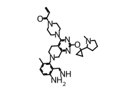 C=CC(=O)N1CCN(c2nc(OC3(C4CCCN4C)CC3)nc3c2CCN(c2c(C)ccc(N)c2C=N)C3)CC1